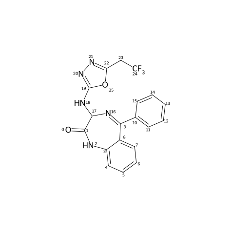 O=C1Nc2ccccc2C(c2ccccc2)=NC1Nc1nnc(CC(F)(F)F)o1